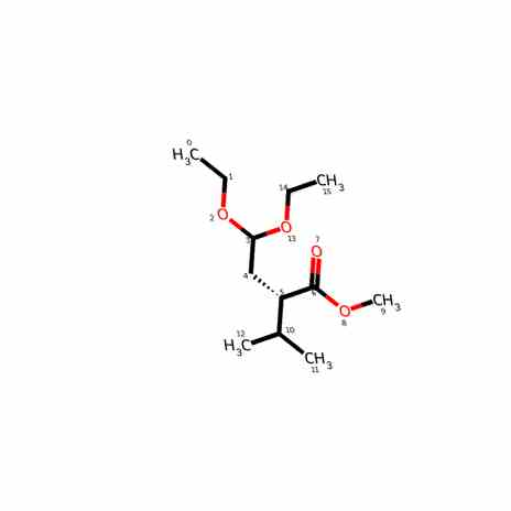 CCOC(C[C@H](C(=O)OC)C(C)C)OCC